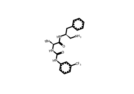 CC(C)(C)[C@H](NC(=O)Nc1cccc(C(F)(F)F)c1)C(=O)N[C@H](CN)Cc1ccccc1